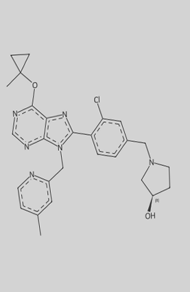 Cc1ccnc(Cn2c(-c3ccc(CN4CC[C@@H](O)C4)cc3Cl)nc3c(OC4(C)CC4)ncnc32)c1